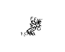 CC(N=[N+]=[N-])C(=O)C(c1cc(F)c(F)cc1F)N1CCn2c(nnc2C(F)(F)F)C1